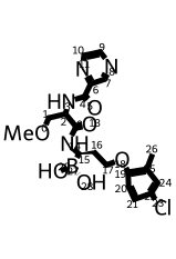 COCC(NC(=O)c1cnccn1)C(=O)N[C@@H](CCOc1ccc(Cl)cc1C)B(O)O